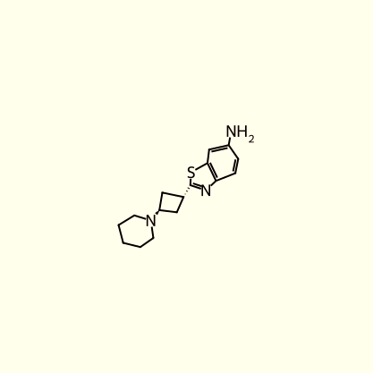 Nc1ccc2nc([C@H]3C[C@H](N4CCCCC4)C3)sc2c1